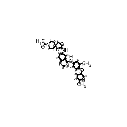 CC(=O)N1CCC2(CC1)COC(Nc1ccc3ncnc(Nc4ccc(Oc5ccc(C)nc5)c(C)c4)c3c1)=N2